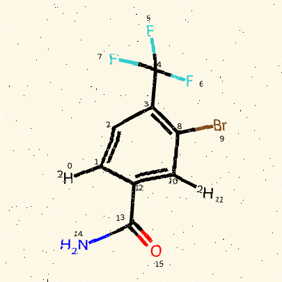 [2H]c1cc(C(F)(F)F)c(Br)c([2H])c1C(N)=O